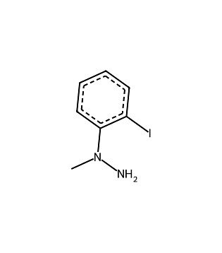 CN(N)c1ccccc1I